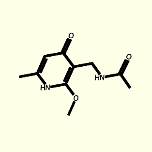 COc1[nH]c(C)cc(=O)c1CNC(C)=O